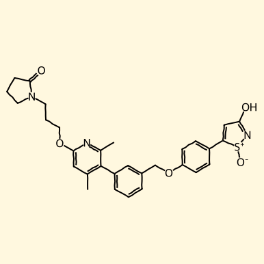 Cc1cc(OCCCN2CCCC2=O)nc(C)c1-c1cccc(COc2ccc(-c3cc(O)n[s+]3[O-])cc2)c1